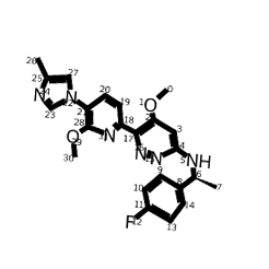 COc1cc(N[C@@H](C)c2ccc(F)cc2)nnc1-c1ccc(-n2cnc(C)c2)c(OC)n1